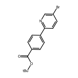 CC(C)(C)OC(=O)c1ccc(-c2ccc(Br)cn2)cc1